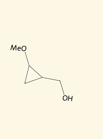 COC1CC1CO